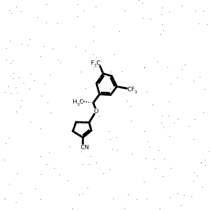 C[C@@H](OC1C=C(C#N)CC1)c1cc(C(F)(F)F)cc(C(F)(F)F)c1